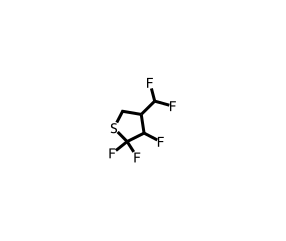 FC(F)C1CSC(F)(F)C1F